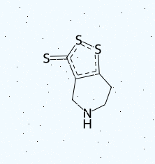 S=c1ssc2c1CNCC2